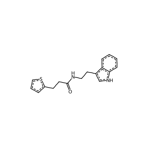 O=C(CCc1cccs1)NCCc1c[nH]c2ccccc12